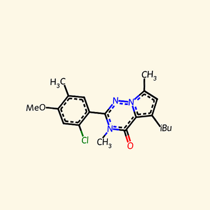 CCC(C)c1cc(C)n2nc(-c3cc(C)c(OC)cc3Cl)n(C)c(=O)c12